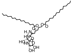 CCCCCCCCCCCCCCCC(=O)OCC(CSC[C@H](N)C(=O)N[C@@H](CO)C(=O)N[C@@H](CO)C(=O)O)OC(=O)CCCCCCCCCCCCCCC